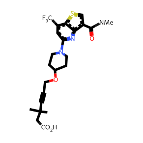 CNC(=O)c1csc2c(C(F)(F)F)cc(N3CCC(OCC#CC(C)(C)CC(=O)O)CC3)nc12